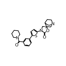 O=C(c1cccc(-c2ccc(N3C[C@@]4(CN5CCC4CC5)OC3=O)s2)c1)N1CCCCC1